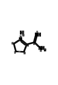 I.N=C(N)C1=NCCC1